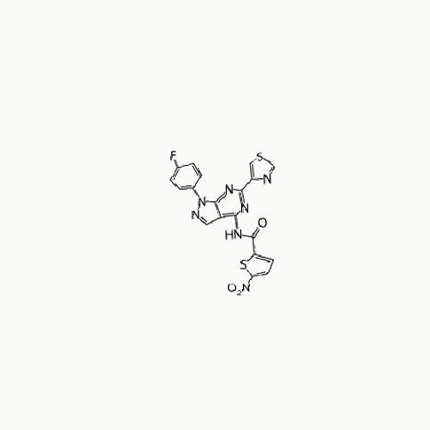 O=C(Nc1nc(-c2cscn2)nc2c1cnn2-c1ccc(F)cc1)c1ccc([N+](=O)[O-])s1